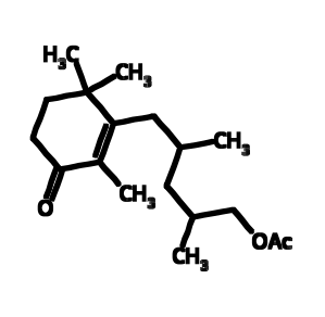 CC(=O)OCC(C)CC(C)CC1=C(C)C(=O)CCC1(C)C